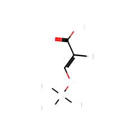 C/C(=C\O[Si](C)(C)C)C(=O)O